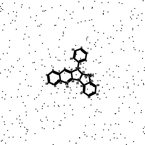 c1ccc(N2c3cc4ccccc4nc3N3c4ccccc4NC23)cc1